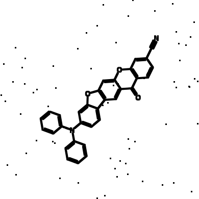 N#Cc1ccc2c(=O)c3cc4c(cc3oc2c1)oc1cc(N(c2ccccc2)c2ccccc2)ccc14